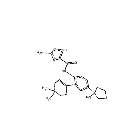 CC1(C)CC=C(c2cc(C3(O)CCCC3)ccc2NC(=O)c2nc(N)c[nH]2)CC1